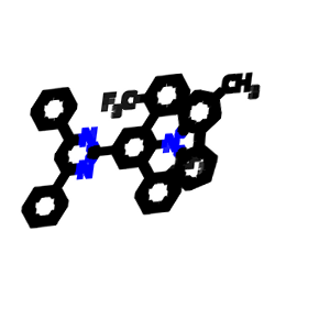 Cc1ccc2c(c1)c1ccccc1n2-c1c(-c2ccccc2C(F)(F)F)cc(-c2nc(-c3ccccc3)cc(-c3ccccc3)n2)cc1-c1ccccc1C(F)(F)F